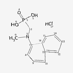 CN(CP(=O)(O)O)c1cccc2ccccc12.Cl